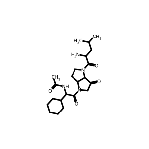 CC(=O)NC(C(=O)N1CC(=O)C2C1CCN2C(=O)C(N)CC(C)C)C1CCCCC1